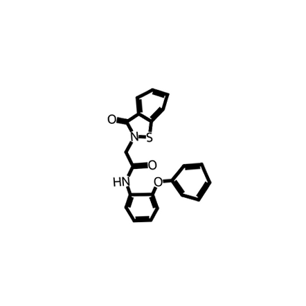 O=C(Cn1sc2ccccc2c1=O)Nc1ccccc1Oc1ccccc1